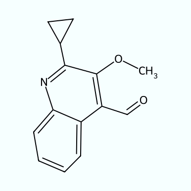 COc1c(C2CC2)nc2ccccc2c1C=O